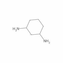 NC1[CH]C(N)CCC1